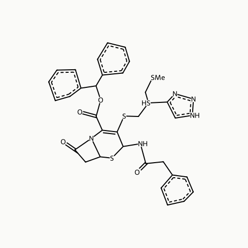 CSC[SH](CSC1=C(C(=O)OC(c2ccccc2)c2ccccc2)N2C(=O)CC2SC1NC(=O)Cc1ccccc1)c1c[nH]nn1